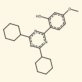 COc1ccc(-c2nc(C3CCCCC3)nc(C3CCCCC3)n2)c(O)c1